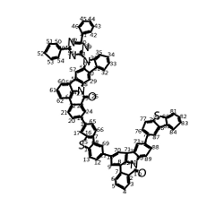 O=c1c2ccccc2c2cc(-c3ccc4sc5cc(-c6ccc7c(c6)c(=O)n6c8cc9c%10ccccc%10n(-c%10nc(-c%11ccccc%11)nc(-c%11ccccc%11)n%10)c9cc8c8cccc7c86)ccc5c4c3)cc3c4cc(-c5ccc6sc7ccccc7c6c5)ccc4n1c23